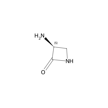 N[C@H]1CNC1=O